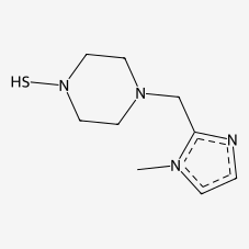 Cn1ccnc1CN1CCN(S)CC1